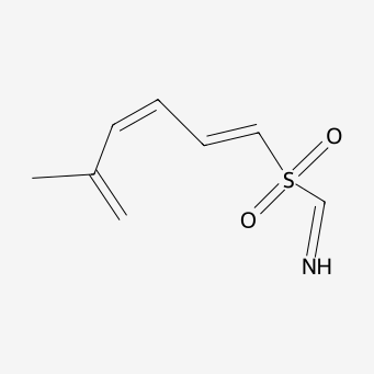 C=C(C)/C=C\C=C\S(=O)(=O)C=N